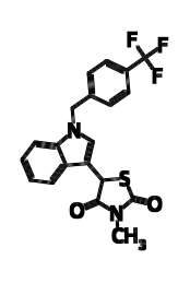 CN1C(=O)SC(c2cn(Cc3ccc(C(F)(F)F)cc3)c3ccccc23)C1=O